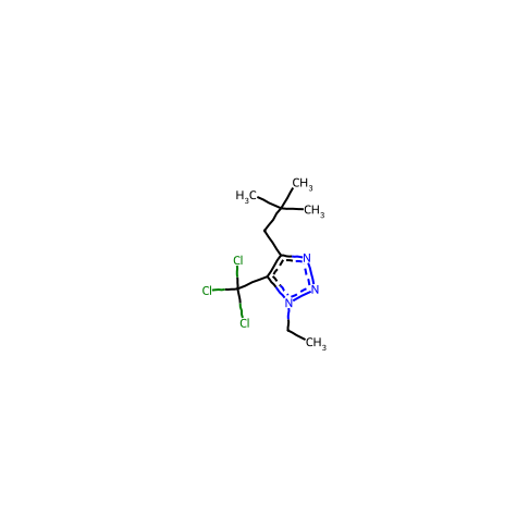 CCn1nnc(CC(C)(C)C)c1C(Cl)(Cl)Cl